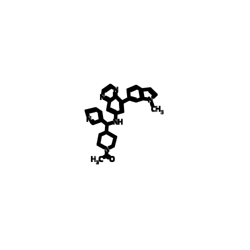 CC(=O)N1CCC(C(Nc2cc(-c3ccc4ccn(C)c4c3)c3nccnc3c2)c2cccnc2)CC1